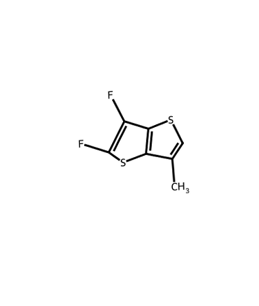 Cc1csc2c(F)c(F)sc12